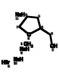 Br.O.OCC1CCCO1.[NaH].[NaH].[NaH]